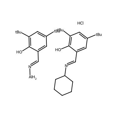 CC(C)(C)c1cc(C=NC2CCCCC2)c(O)c(C(C)(C)C)c1.CC(C)(C)c1cc(C=[N][AlH2])c(O)c(C(C)(C)C)c1.Cl